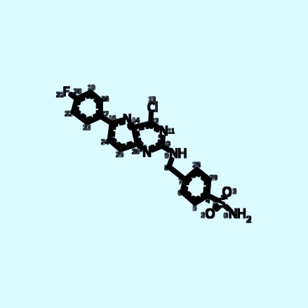 NS(=O)(=O)c1ccc(CNc2nc(Cl)c3nc(-c4ccc(F)cc4)ccc3n2)cc1